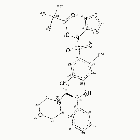 O=C(ON(c1nccs1)S(=O)(=O)c1cc(Cl)c(N[C@H](CN2CCOCC2)c2ccccc2)cc1F)C(F)(F)F